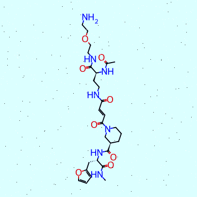 CNC(=O)[C@H](Cc1ccco1)NC(=O)[C@@H]1CCCN(C(=O)/C=C/C(=O)NCC[C@H](NC(C)=O)C(=O)NCCOCCN)C1